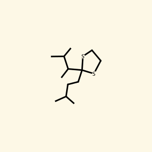 CC(C)CCC1(C(C)C(C)C)SCCS1